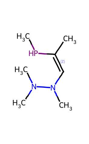 CP/C(C)=C\N(C)N(C)C